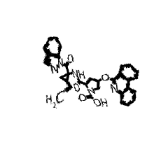 C=CC1CC1(NC(=O)C1CC(Oc2nc3ccccc3c3ccccc23)CN1C(=O)O)C(=O)n1ncc2ccccc21